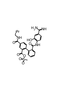 CC(C)CNC(=O)c1ccc(-c2ccccc2C(=O)Nc2ccc(C(=N)N)cc2O)c(C(=O)OS(C)(=O)=O)c1